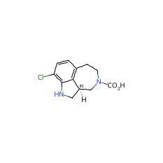 O=C(O)N1CCc2ccc(Cl)c3c2[C@H](CN3)C1